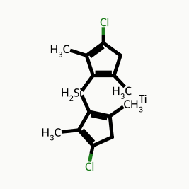 CC1=C([SiH2]C2=C(C)CC(Cl)=C2C)C(C)=C(Cl)C1.[Ti]